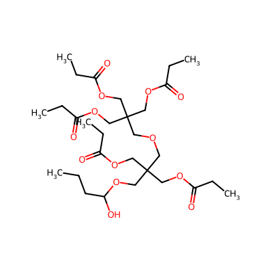 CCCC(O)OCC(COCC(COC(=O)CC)(COC(=O)CC)COC(=O)CC)(COC(=O)CC)COC(=O)CC